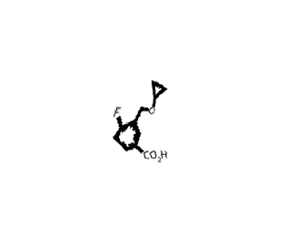 O=C(O)c1ccc(F)c(COC2CC2)c1